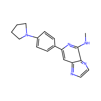 CNc1nc(-c2ccc(N3CCCC3)cc2)cc2nccnc12